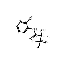 C[C@@](O)(C(=O)Nc1ccccc1Cl)C(F)(F)F